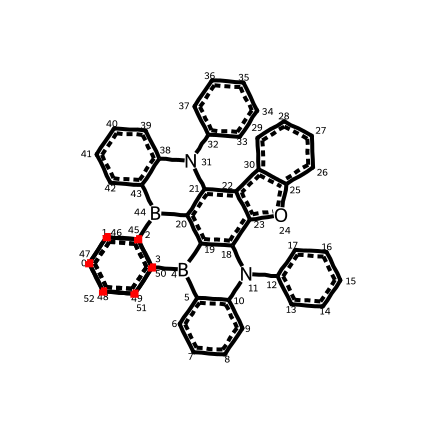 c1ccc(B2c3ccccc3N(c3ccccc3)c3c2c2c(c4c3oc3ccccc34)N(c3ccccc3)c3ccccc3B2c2ccccc2)cc1